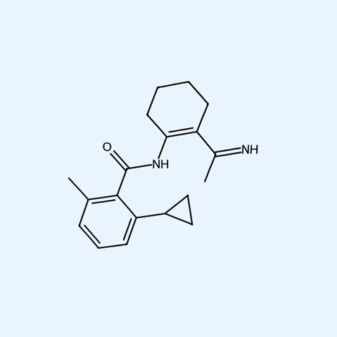 CC(=N)C1=C(NC(=O)c2c(C)cccc2C2CC2)CCCC1